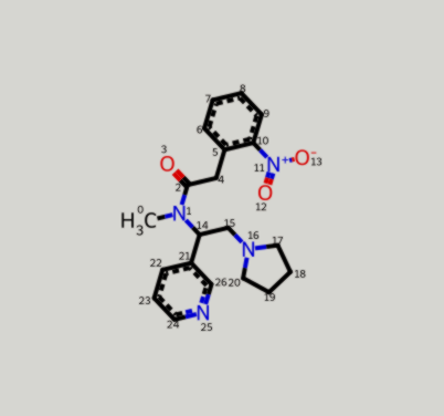 CN(C(=O)Cc1ccccc1[N+](=O)[O-])C(CN1CCCC1)c1cccnc1